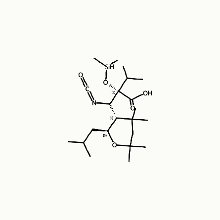 CC(C)C[C@H](OC(C)(C)C)[C@H](C(N=C=O)[C@](O[SiH](C)C)(C(=O)O)C(C)C)C(C)(C)C